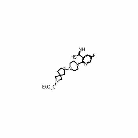 CCOC(=O)N1CC2(CC[C@@H](N3CCN(c4ncc(F)cc4C(=N)S)CC3)C2)C1